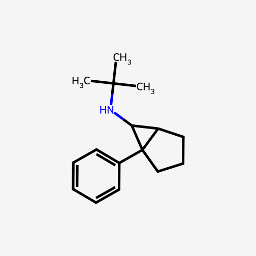 CC(C)(C)NC1C2CCCC21c1ccccc1